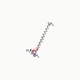 CCCCCCCCCCCCCCCCCCOCC(CNC)OC(C)=O